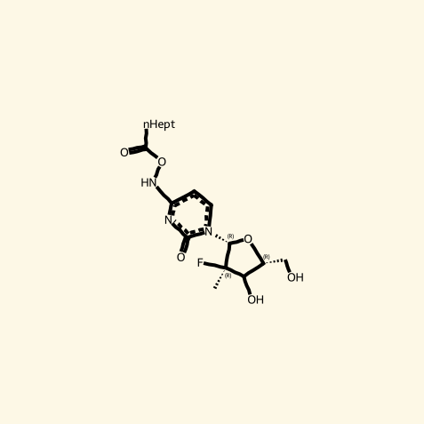 CCCCCCCC(=O)ONc1ccn([C@@H]2O[C@H](CO)C(O)[C@@]2(C)F)c(=O)n1